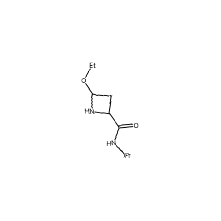 CCOC1CC(C(=O)NC(C)C)N1